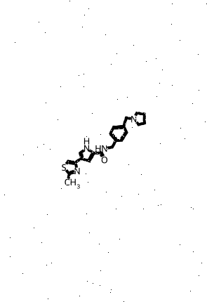 Cc1nc(-c2c[nH]c(C(=O)NCc3ccc(CN4CCCC4)cc3)c2)cs1